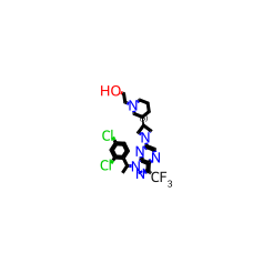 CC(c1ccc(Cl)cc1Cl)n1nc(C(F)(F)F)c2ncc(N3CC([C@@H]4CCCN(CCO)C4)C3)nc21